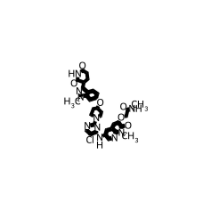 CNC(=O)COc1cc2cc(Nc3nc(N4CCC(Oc5ccc6c(C7CCC(=O)NC7=O)nn(C)c6c5)CC4)ncc3Cl)cnc2n(C)c1=O